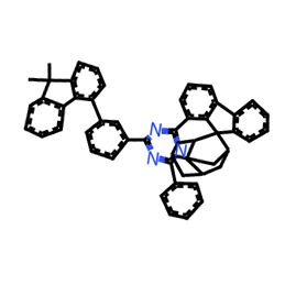 CC1(C)c2ccccc2-c2c(-c3cccc(-c4nc(-c5ccccc5)nc(-c5cccc6c5C5(c7ccccc7-6)C6CC7CC(C6)CC5C7)n4)c3)cccc21